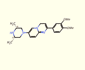 COc1ccc(C2=CCN3C=C(N4C[C@@H](C)N[C@@H](C)C4)C=CC3=N2)cc1OC